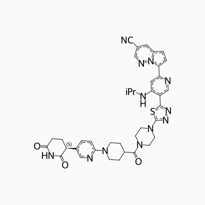 CC(C)Nc1cc(-c2ccc3cc(C#N)cnn23)ncc1-c1nnc(N2CCN(C(=O)C3CCN(c4ccc([C@@H]5CCC(=O)NC5=O)cn4)CC3)CC2)s1